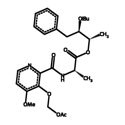 COc1ccnc(C(=O)N[C@@H](C)C(=O)O[C@@H](C)[C@@H](Cc2ccccc2)OCC(C)C)c1OCOC(C)=O